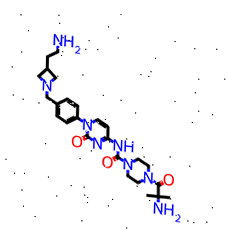 CC(C)(N)C(=O)N1CCN(C(=O)Nc2ccn(-c3ccc(CN4CC(CCN)C4)cc3)c(=O)n2)CC1